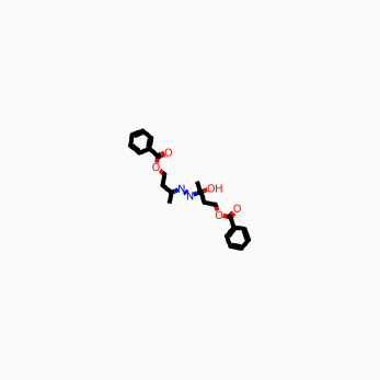 CC(CCOC(=O)c1ccccc1)/N=N/C(C)(O)CCOC(=O)c1ccccc1